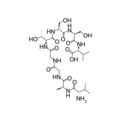 CC(C)[C@H](N)C(=O)N[C@@H](C)C(=O)NCC(=O)NCC(=O)N[C@H](C(=O)N[C@@H](CO)C(=O)N[C@@H](CO)C(=O)N[C@H](C(=O)O)C(C)C)[C@@H](C)O